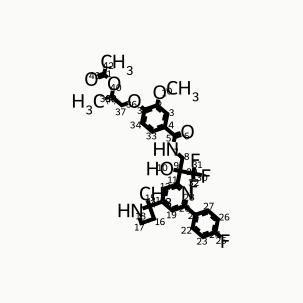 COc1cc(C(=O)NCC(O)(c2cc(C3(C)CCN3)cc(-c3ccc(F)cc3)n2)C(F)(F)F)ccc1OC[C@@H](C)OC(C)=O